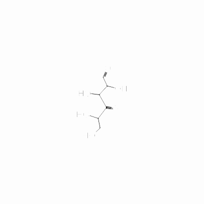 O=CC(O)C(O)C(=O)C(O)CO